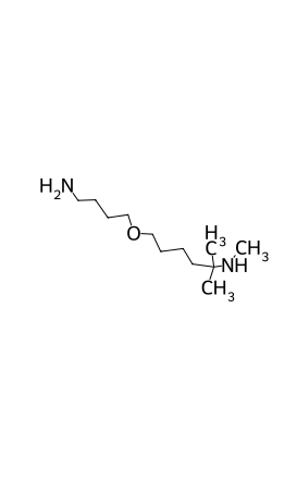 CNC(C)(C)CCCCOCCCCN